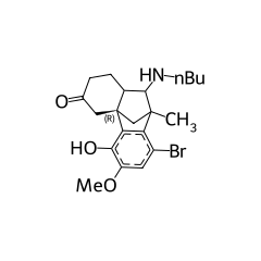 CCCCNC1C2CCC(=O)C[C@]23CC1(C)c1c(Br)cc(OC)c(O)c13